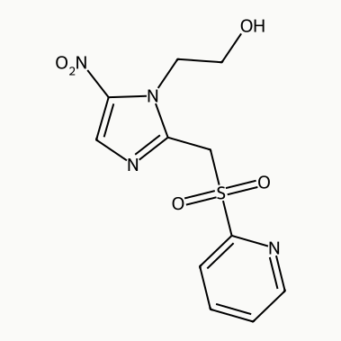 O=[N+]([O-])c1cnc(CS(=O)(=O)c2ccccn2)n1CCO